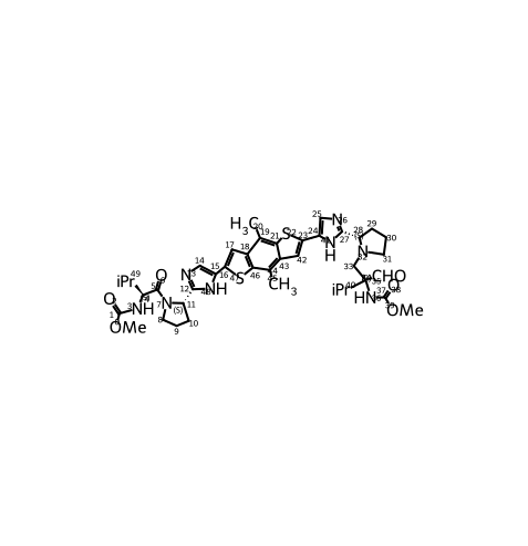 COC(=O)N[C@H](C(=O)N1CCC[C@H]1c1ncc(-c2cc3c(C)c4sc(-c5cnc([C@@H]6CCCN6C[C@](C=O)(NC(=O)OC)C(C)C)[nH]5)cc4c(C)c3s2)[nH]1)C(C)C